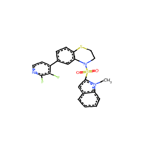 Cn1c(S(=O)(=O)N2CCSc3ccc(-c4ccnc(F)c4F)cc32)cc2ccccc21